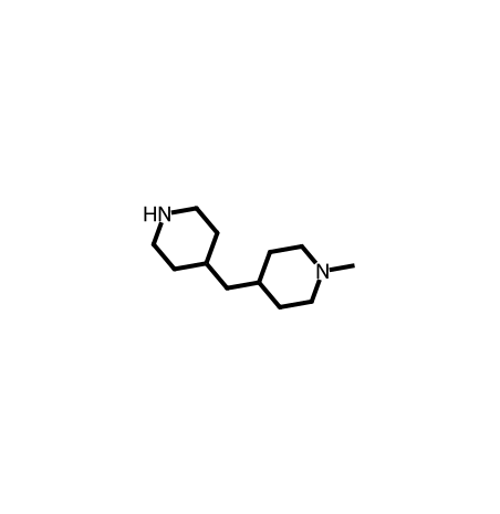 CN1CCC(CC2CCNCC2)CC1